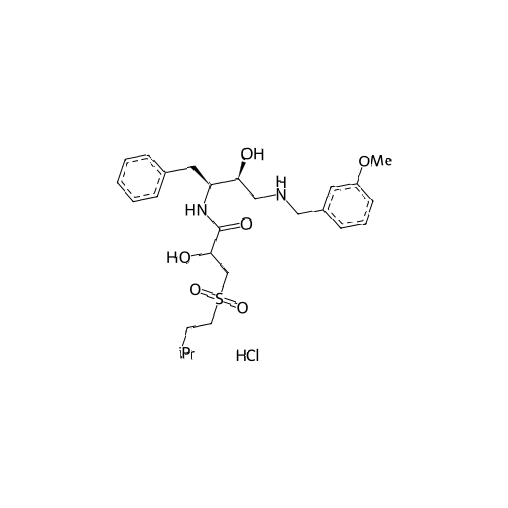 COc1cccc(CNC[C@H](O)[C@H](Cc2ccccc2)NC(=O)C(O)CS(=O)(=O)CCC(C)C)c1.Cl